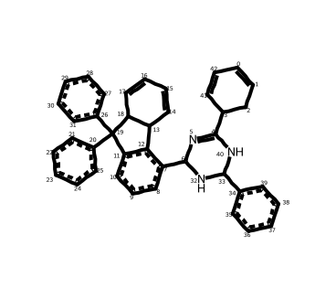 C1=CCC(C2=NC(c3cccc4c3C3C=CC=CC3C4(c3ccccc3)c3ccccc3)NC(c3ccccc3)N2)C=C1